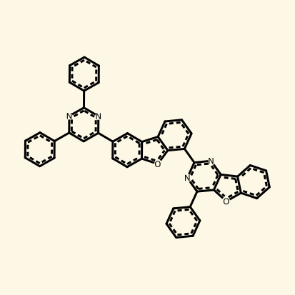 c1ccc(-c2cc(-c3ccc4oc5c(-c6nc(-c7ccccc7)c7oc8ccccc8c7n6)cccc5c4c3)nc(-c3ccccc3)n2)cc1